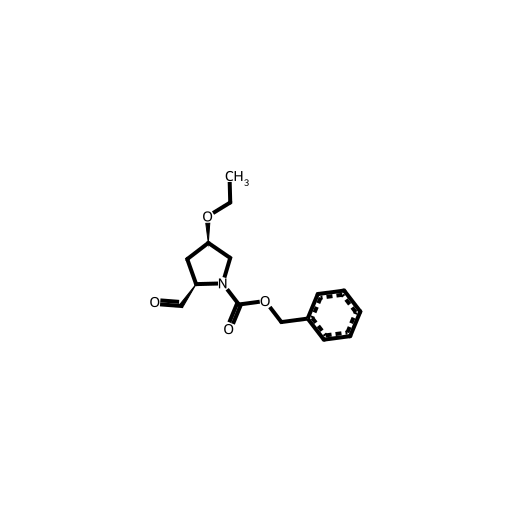 CCO[C@@H]1C[C@H](C=O)N(C(=O)OCc2ccccc2)C1